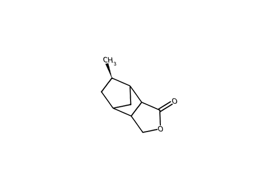 C[C@@H]1CC2CC1C1C(=O)OCC21